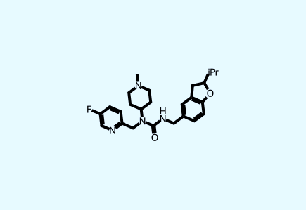 CC(C)C1Cc2cc(CNC(=O)N(Cc3ccc(F)cn3)C3CCN(C)CC3)ccc2O1